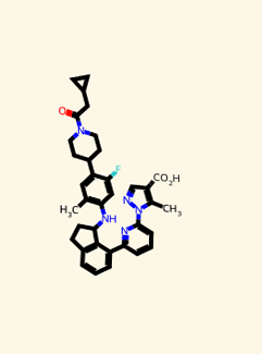 Cc1cc(C2CCN(C(=O)CC3CC3)CC2)c(F)cc1NC1CCc2cccc(-c3cccc(-n4ncc(C(=O)O)c4C)n3)c21